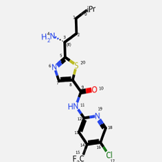 CC(C)CC[C@@H](N)c1ncc(C(=O)Nc2cc(C(F)(F)F)c(Cl)cn2)s1